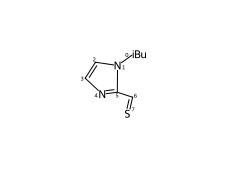 CCC(C)n1ccnc1C=S